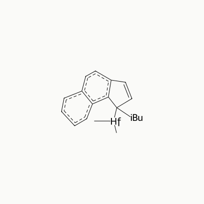 CCC(C)[C]1([Hf]([CH3])[CH3])C=Cc2ccc3ccccc3c21